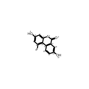 O=c1sc2cc(O)cc(F)c2c2ccc(O)cc12